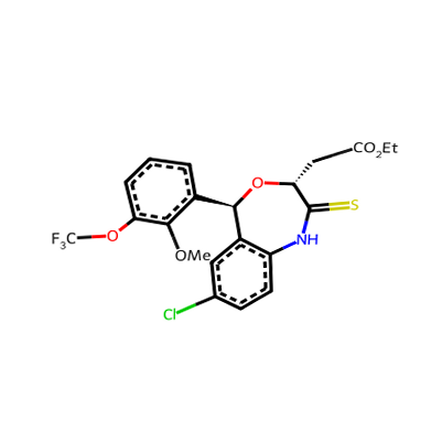 CCOC(=O)C[C@H]1O[C@H](c2cccc(OC(F)(F)F)c2OC)c2cc(Cl)ccc2NC1=S